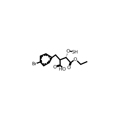 CCOC(=O)[C@@H](OS)C(Cc1ccc(Br)cc1)C(=O)O